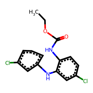 CCOC(=O)Nc1ccc(Cl)cc1Nc1cccc(Cl)c1